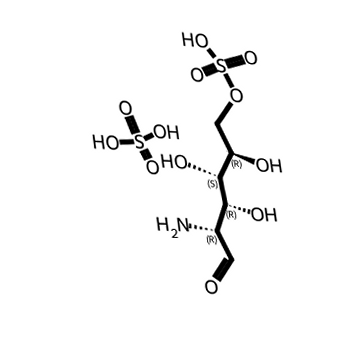 N[C@@H](C=O)[C@@H](O)[C@H](O)[C@H](O)COS(=O)(=O)O.O=S(=O)(O)O